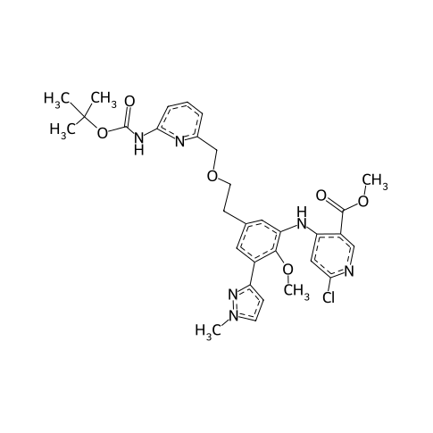 COC(=O)c1cnc(Cl)cc1Nc1cc(CCOCc2cccc(NC(=O)OC(C)(C)C)n2)cc(-c2ccn(C)n2)c1OC